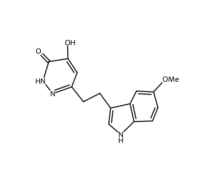 COc1ccc2[nH]cc(CCc3cc(O)c(=O)[nH]n3)c2c1